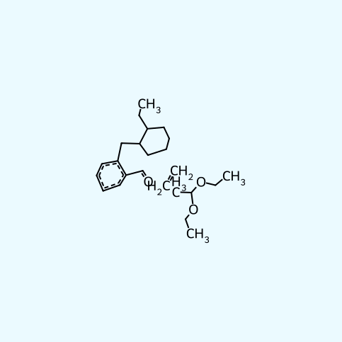 C=C.CCC1CCCCC1Cc1ccccc1C=O.CCOC(C)OCC